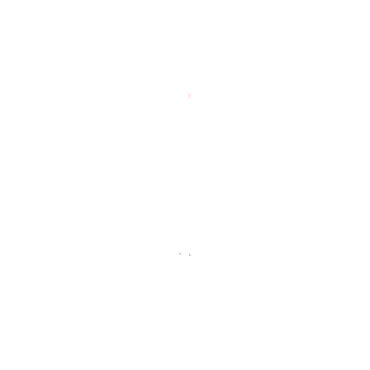 C=C(CCCCCCCCCCCO)C(=O)O